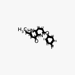 CCc1cc(=O)c2nc(Oc3ccc(F)cc3)ccc2[nH]1